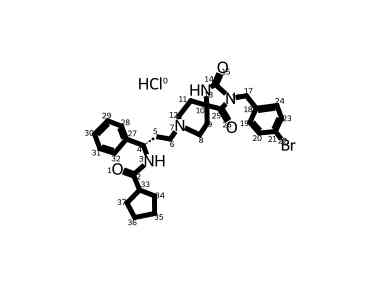 Cl.O=C(N[C@@H](CCN1CCC2(CC1)NC(=O)N(Cc1ccc(Br)cc1)C2=O)c1ccccc1)C1CCCC1